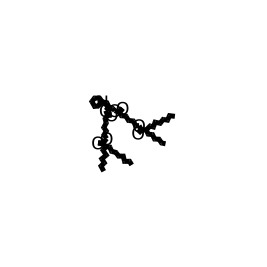 CCCCCCCCC(CCCCCC)C(=O)OCCCCCC(=O)OCC(CN1CCCCC1)OC(=O)CCCCCOC(=O)C(CCCCCC)CCCCCCCC